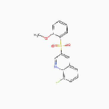 COc1ccccc1S(=O)(=O)c1cnc2c(F)cccc2c1